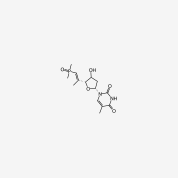 C/C(=C\P(C)(C)=O)[C@H]1O[C@@H](n2cc(C)c(=O)[nH]c2=O)CC1O